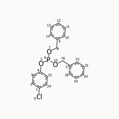 Clc1ccc(OP(OCc2ccccc2)OCc2ccccc2)cc1